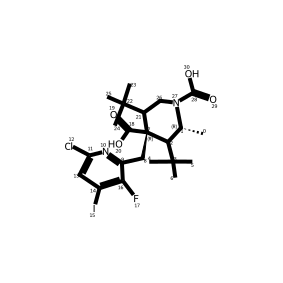 C[C@@H]1C(C(C)(C)C)[C@](Cc2nc(Cl)cc(I)c2F)(C(=O)O)C(C(C)(C)C)CN1C(=O)O